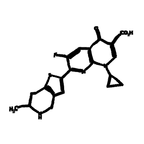 CC1Cc2sc(-c3nc4c(cc3F)c(=O)c(C(=O)O)cn4C3CC3)cc2CN1